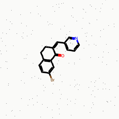 O=C1/C(=C\c2cccnc2)CCc2ccc(Br)cc21